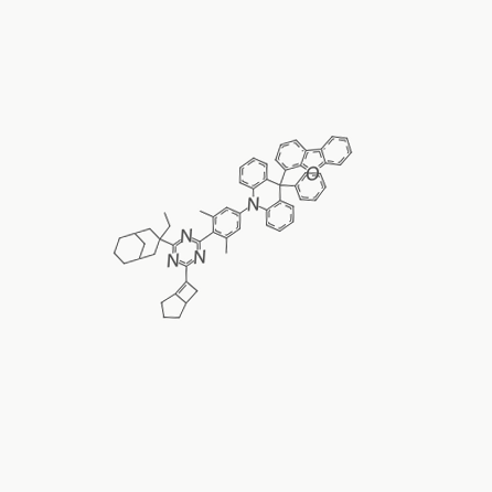 CCC1(c2nc(C3=C4CCCC4C3)nc(-c3c(C)cc(N4c5ccccc5C(c5ccccc5)(c5cccc6c5oc5ccccc56)c5ccccc54)cc3C)n2)CC2CCCC(C2)C1